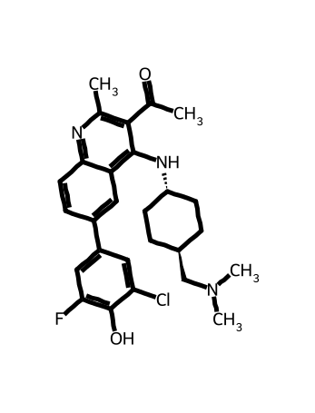 CC(=O)c1c(C)nc2ccc(-c3cc(F)c(O)c(Cl)c3)cc2c1N[C@H]1CC[C@H](CN(C)C)CC1